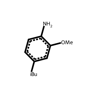 CCC(C)c1ccc(N)c(OC)c1